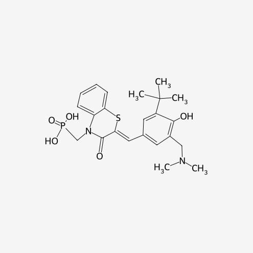 CN(C)Cc1cc(/C=C2\Sc3ccccc3N(CP(=O)(O)O)C2=O)cc(C(C)(C)C)c1O